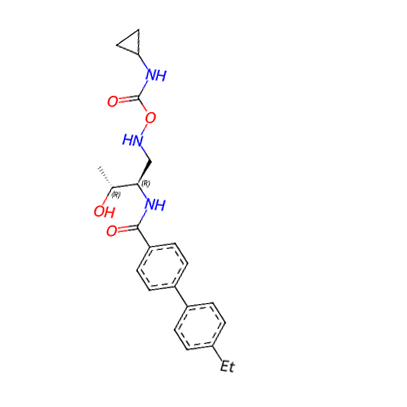 CCc1ccc(-c2ccc(C(=O)N[C@H](CNOC(=O)NC3CC3)[C@@H](C)O)cc2)cc1